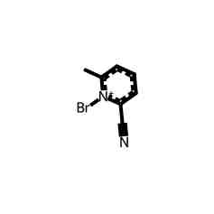 Cc1cccc(C#N)[n+]1Br